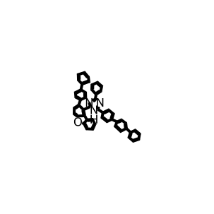 c1ccc(C2=NC(c3c(-c4ccc(-c5ccccc5)cc4)ccc4oc5ccccc5c34)NC(c3ccc(-c4ccc(-c5ccccc5)cc4)cc3)=N2)cc1